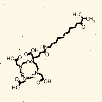 CC(C)C(=O)CCCCCCCCCCNC(=O)CCC(C(=O)O)N1CCN(CC(=O)O)CCN(CC(=O)O)CCN(CC(=O)O)CC1